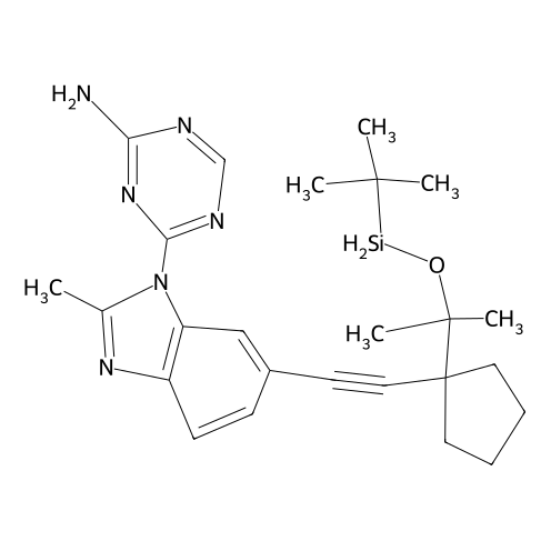 Cc1nc2ccc(C#CC3(C(C)(C)O[SiH2]C(C)(C)C)CCCC3)cc2n1-c1ncnc(N)n1